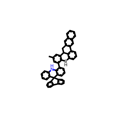 Cc1cc(-c2cccc3c2Nc2ccccc2C32c3ccccc3-c3ccccc32)c2c(c1)C1Cc3cc4ccccc4cc3-c3cccc(c31)B2